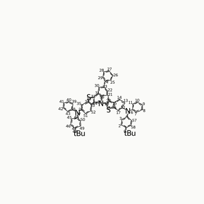 CC(C)(C)c1ccc(N(c2ccccc2)c2ccc3c(c2)sc2c3c3cc(-c4ccccc4)cc4c5sc6cc(N(c7ccccc7)c7ccc(C(C)(C)C)cc7)ccc6c5n2c43)cc1